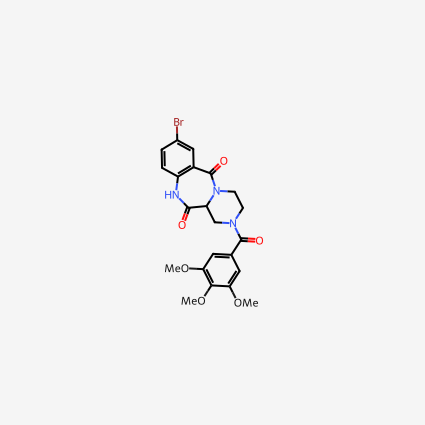 COc1cc(C(=O)N2CCN3C(=O)c4cc(Br)ccc4NC(=O)C3C2)cc(OC)c1OC